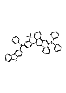 CC1(C)c2cc(N(c3ccccc3)c3ccc4sc5ccccc5c4c3)ccc2-c2cc3c4ccccc4c(N(c4ccccc4)c4ccccc4)cc3c3cccc1c23